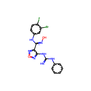 N=C(Nc1ccccc1)Nc1nonc1/C(=N/O)Nc1ccc(F)c(Br)c1